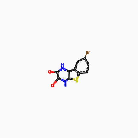 O=c1[nH]c2sc3ccc(Br)cc3c2[nH]c1=O